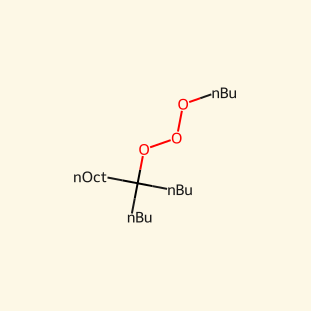 CCCCCCCCC(CCCC)(CCCC)OOOCCCC